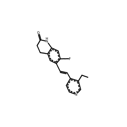 CCc1cnccc1/C=C/c1cc2c(cc1F)NC(=O)CC2